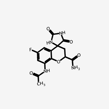 CC(=O)Nc1cc(F)cc2c1OC(C(N)=O)CC21NC(=O)NC1=O